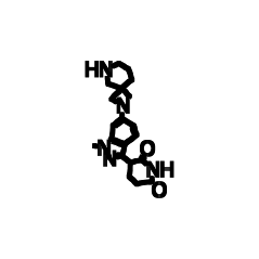 Cn1nc(C2CCC(=O)NC2=O)c2ccc(N3CC4(CCCNC4)C3)cc21